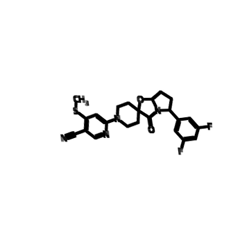 CSc1cc(N2CCC3(CC2)OC2CCC(c4cc(F)cc(F)c4)N2C3=O)ncc1C#N